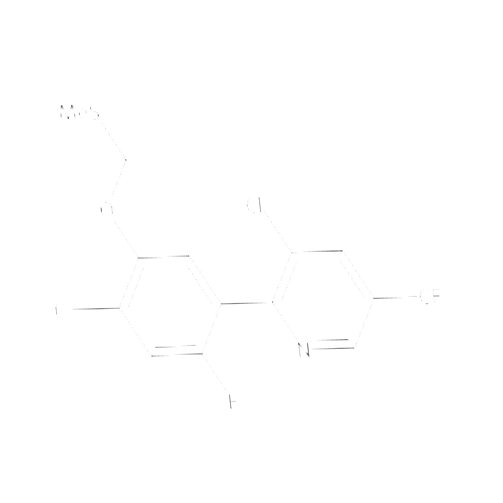 CSCOc1cc(-c2ncc(C(F)(F)F)cc2Cl)c(F)cc1Cl